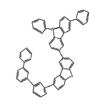 c1ccc(-c2cccc(-c3cccc(-c4ccc5sc6ccc(-c7ccc8c(c7)c7cc(-c9ccccc9)ccc7n8-c7ccccc7)cc6c5c4)c3)c2)cc1